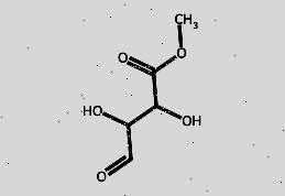 COC(=O)C(O)C(O)C=O